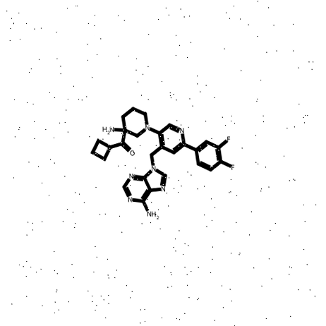 Nc1ncnc2c1ncn2Cc1cc(-c2ccc(F)c(F)c2)ncc1N1CCCC(N)(C(=O)C2CCC2)C1